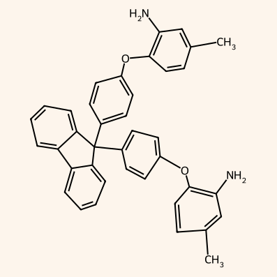 Cc1ccc(Oc2ccc(C3(c4ccc(Oc5ccc(C)cc5N)cc4)c4ccccc4-c4ccccc43)cc2)c(N)c1